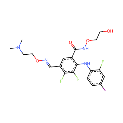 CN(C)CCON=Cc1cc(C(=O)NOCCO)c(Nc2ccc(I)cc2F)c(F)c1F